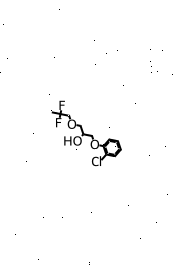 CC(F)(F)COCC(O)COc1ccccc1Cl